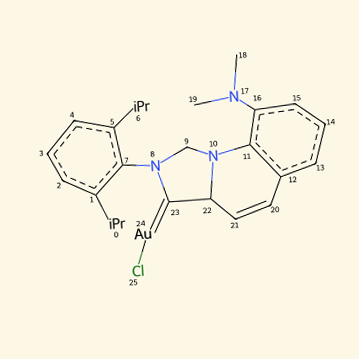 CC(C)c1cccc(C(C)C)c1N1CN2c3c(cccc3N(C)C)C=CC2[C]1=[Au][Cl]